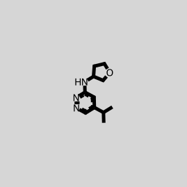 CC(C)c1cnnc(NC2CCOC2)c1